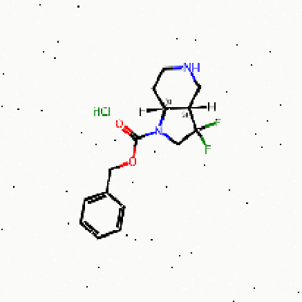 Cl.O=C(OCc1ccccc1)N1CC(F)(F)[C@H]2CNCC[C@H]21